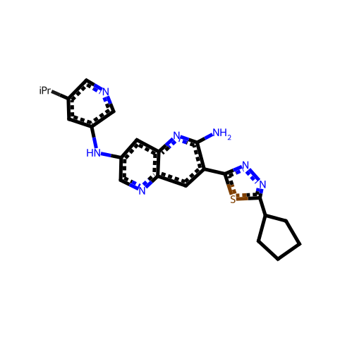 CC(C)c1cncc(Nc2cnc3cc(-c4nnc(C5CCCC5)s4)c(N)nc3c2)c1